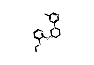 CCOc1cccnc1O[C@@H]1CCCN(c2cncc(Cl)n2)C1